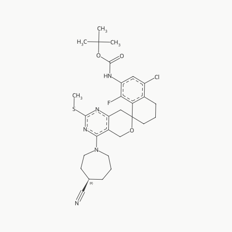 CSc1nc2c(c(N3CCC[C@@H](C#N)CC3)n1)COC1(CCCc3c(Cl)cc(NC(=O)OC(C)(C)C)c(F)c31)C2